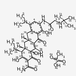 CN(C)c1cc(NC(=O)CNC(C)(C)C)c(O)c2c1C[C@H]1C[C@H]3[C@H](N(C)C)C(O)=C(C(N)=O)C(=O)[C@@]3(O)C(O)=C1C2=O.CS(=O)(=O)O